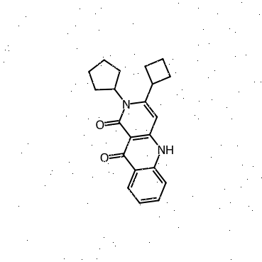 O=c1c2ccccc2[nH]c2cc(C3CCC3)n(C3CCCC3)c(=O)c12